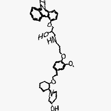 COc1cc(CCO[C@@H]2CCCC[C@@H]2N2CC[C@H](O)C2)ccc1OCCNCC(O)COc1cccc2[nH]c3ccccc3c12